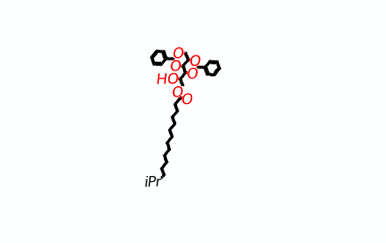 CC(C)CCCCCCCCCCCCC(=O)OCC(O)C1OC(c2ccccc2)OC2COC(c3ccccc3)OC21